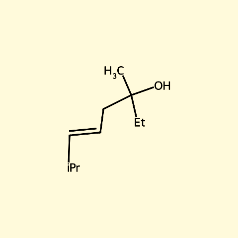 CCC(C)(O)C/C=C/C(C)C